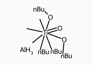 CCCC[O][Ti]([CH3])([CH3])([CH3])(=[O])([CH2]CCC)([CH2]CCC)[O]CCCC.[AlH3]